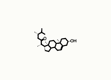 CC(C)[C@@H](C)CC(=O)[C@@H](C)[C@H]1CCC2C3CC=C4C[C@@H](O)CC[C@]4(C)C3CC[C@@]21C